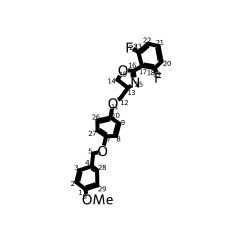 COc1ccc(COc2ccc(OCC3COC(c4c(F)cccc4F)=N3)cc2)cc1